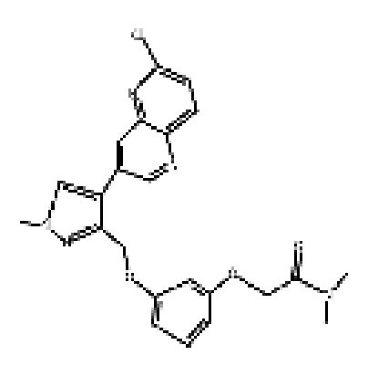 CN(C)C(=O)COc1cccc(OCc2nn(C)cc2-c2cnc3ccc(Cl)nc3c2)c1